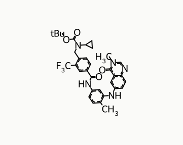 Cc1ccc(NC(=O)c2ccc(CN(C(=O)OC(C)(C)C)C3CC3)c(C(F)(F)F)c2)cc1Nc1ccc2ncn(C)c(=O)c2c1